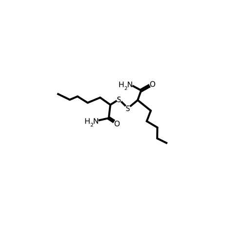 CCCCCC(SSC(CCCCC)C(N)=O)C(N)=O